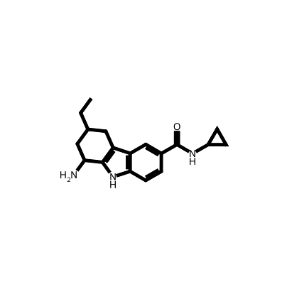 CCC1Cc2c([nH]c3ccc(C(=O)NC4CC4)cc23)C(N)C1